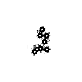 CC1(C)c2ccccc2-c2cc3c4ccccc4n(-c4ccc5c(c4)sc4cccc(-c6cccc7oc8ccccc8c67)c45)c3cc21